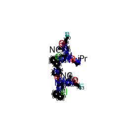 CC(C)N1CCC1COc1nc2c(c(N3CCN(C(=O)/C=C/CF)[C@@H](CC#N)C3)n1)CCN(c1cc(C3CCC4(COc5nc6c(c(N7CCN(C(=O)/C=C/CF)[C@@H](CC#N)C7)n5)CCN(c5cccc7cccc(Cl)c57)C6)CCCN34)cc3cccc(Cl)c13)C2